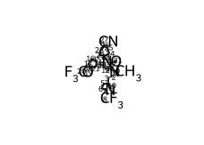 CN(CCc1ccc(C(F)(F)F)nc1)[C@@H]1C[C@H](c2cccc(OC(F)(F)F)c2)N(c2ccc(C#N)cc2)C1=O